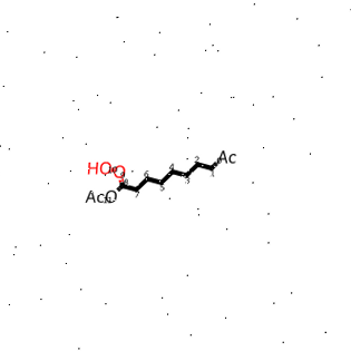 CC(=O)CCCCCCCC(OO)OC(C)=O